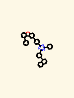 c1ccc(-c2nc(-c3ccc(-c4ccc5oc6cccc(-c7ccccc7)c6c5c4)cc3)nc(-c3cccc(-c4cccc5ccccc45)c3)n2)cc1